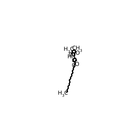 CCCCCCCCCCCCCCCCCCOC(=O)c1ccc(NC=C2C(=O)CC(C)(C)CC2=O)cc1